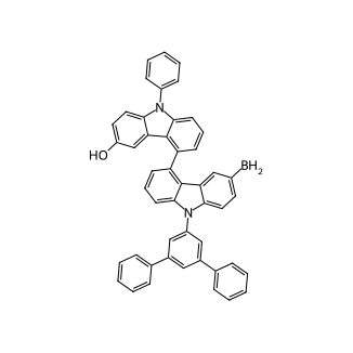 Bc1ccc2c(c1)c1c(-c3cccc4c3c3cc(O)ccc3n4-c3ccccc3)cccc1n2-c1cc(-c2ccccc2)cc(-c2ccccc2)c1